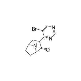 CN1C2CCC1C(=O)C(c1ncncc1Br)C2